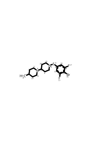 CC1CCN(C2CCN(Sc3cc(F)c(Br)c(F)c3)CC2)CC1